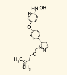 C[SiH](C)CCOCn1nccc1-c1ccc(Oc2ccc(NO)nc2)cc1